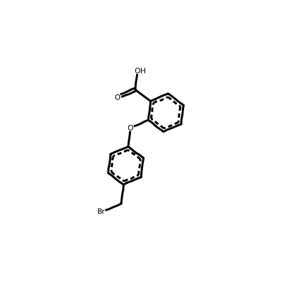 O=C(O)c1ccccc1Oc1ccc(CBr)cc1